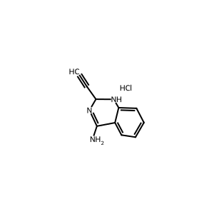 C#CC1N=C(N)c2ccccc2N1.Cl